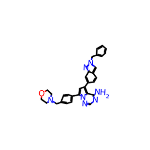 Nc1ncnn2c(-c3ccc(CN4CCOCC4)cc3)cc(-c3ccc4cn(Cc5ccccc5)nc4c3)c12